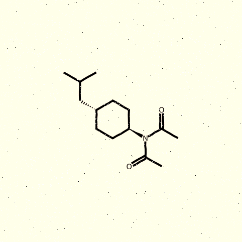 CC(=O)N(C(C)=O)[C@H]1CC[C@H](CC(C)C)CC1